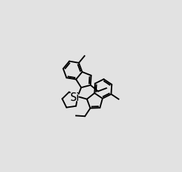 CCC1=Cc2c(C)cccc2C1[Si]1(C2C(CC)=Cc3c(C)cccc32)CCCC1